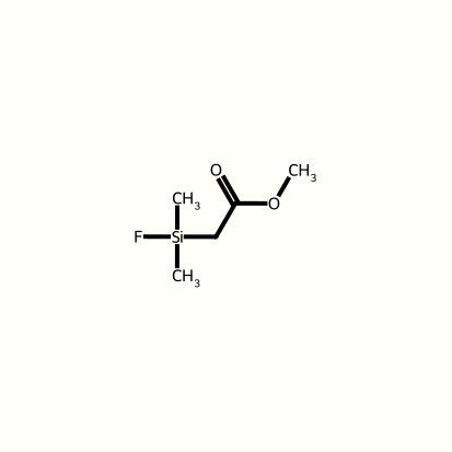 COC(=O)C[Si](C)(C)F